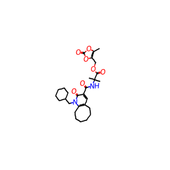 Cc1oc(=O)oc1COC(=O)C(C)(C)NC(=O)c1cc2c(n(CC3CCCCC3)c1=O)CCCCCC2